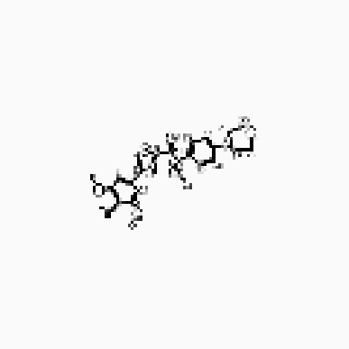 COc1cc(-c2csc(C(=O)C(OC)c3ccc(N4CCOCC4)cc3)n2)cc(OC)c1Br